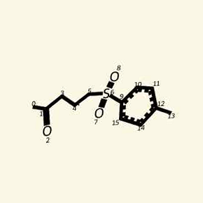 CC(=O)C[CH]CS(=O)(=O)c1ccc(C)cc1